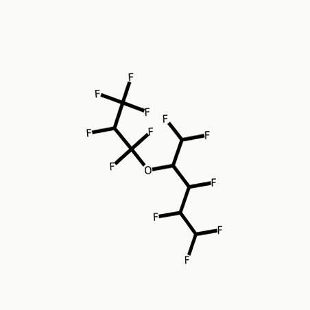 FC(F)C(F)C(F)C(OC(F)(F)C(F)C(F)(F)F)C(F)F